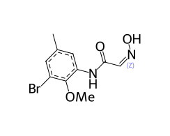 COc1c(Br)cc(C)cc1NC(=O)/C=N\O